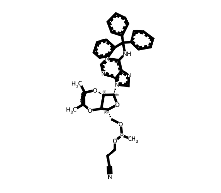 CC(=O)OC1[C@@H](COP(C)OCCC#N)O[C@@H](n2cnc3c(NC(c4ccccc4)(c4ccccc4)c4ccccc4)ncnc32)[C@H]1OC(C)=O